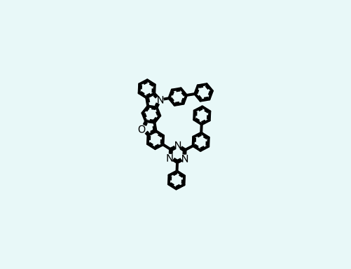 c1ccc(-c2ccc(-n3c4ccccc4c4cc5oc6ccc(-c7nc(-c8ccccc8)nc(-c8cccc(-c9ccccc9)c8)n7)cc6c5cc43)cc2)cc1